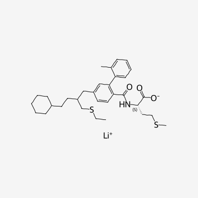 CCSCC(CCC1CCCCC1)Cc1ccc(C(=O)N[C@@H](CCSC)C(=O)[O-])c(-c2ccccc2C)c1.[Li+]